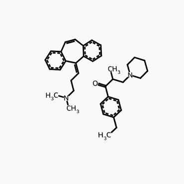 CCc1ccc(C(=O)C(C)CN2CCCCC2)cc1.CN(C)CCC=C1c2ccccc2C=Cc2ccccc21